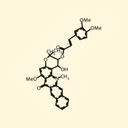 COc1ccc(/C=C/C(=O)OC2C(O)c3c(cc(OC)c4c(=O)c5cc6ccccc6cc5n(C)c34)OC2(C)C)cc1OC